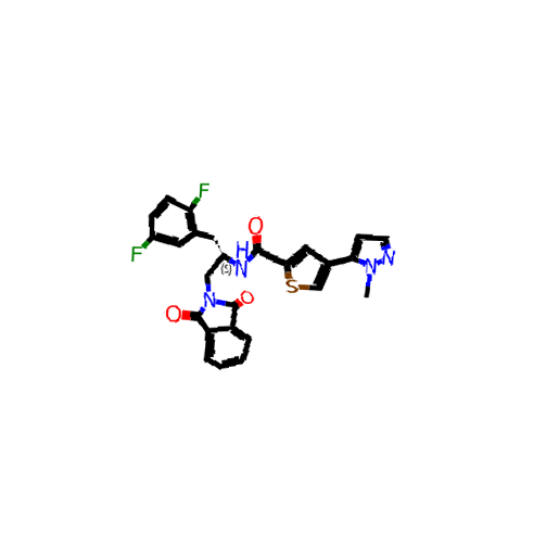 Cn1nccc1-c1csc(C(=O)N[C@@H](Cc2cc(F)ccc2F)CN2C(=O)c3ccccc3C2=O)c1